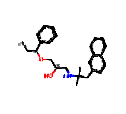 CC(C)CC(OC[C@H](O)CNC(C)(C)Cc1ccc2ccccc2c1)c1ccccc1